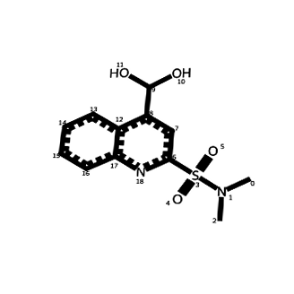 CN(C)S(=O)(=O)c1cc(C(O)O)c2ccccc2n1